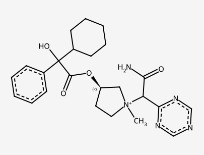 C[N+]1(C(C(N)=O)c2ncncn2)CC[C@@H](OC(=O)C(O)(c2ccccc2)C2CCCCC2)C1